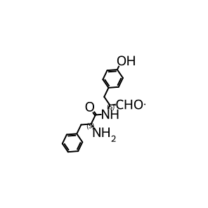 N[C@@H](Cc1ccccc1)C(=O)N[C@H]([C]=O)Cc1ccc(O)cc1